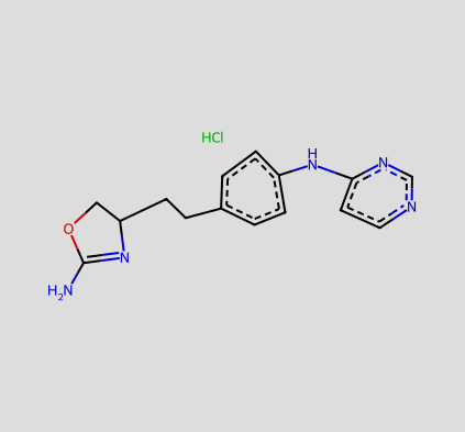 Cl.NC1=NC(CCc2ccc(Nc3ccncn3)cc2)CO1